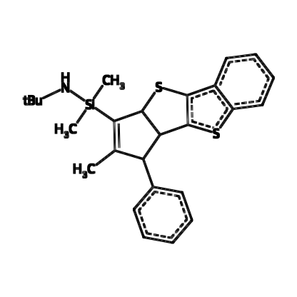 CC1=C([Si](C)(C)NC(C)(C)C)C2Sc3c(sc4ccccc34)C2C1c1ccccc1